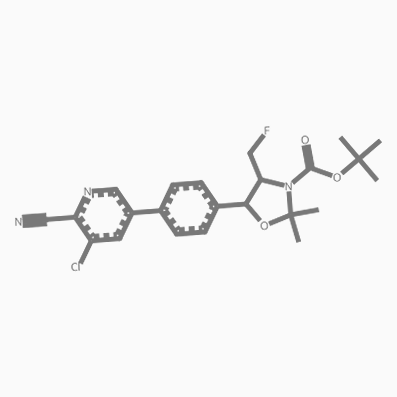 CC(C)(C)OC(=O)N1C(CF)C(c2ccc(-c3cnc(C#N)c(Cl)c3)cc2)OC1(C)C